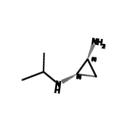 CC(C)N[C@H]1C[C@H]1N